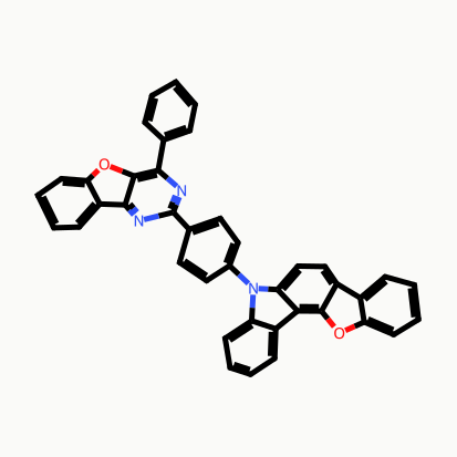 c1ccc(-c2nc(-c3ccc(-n4c5ccccc5c5c6oc7ccccc7c6ccc54)cc3)nc3c2oc2ccccc23)cc1